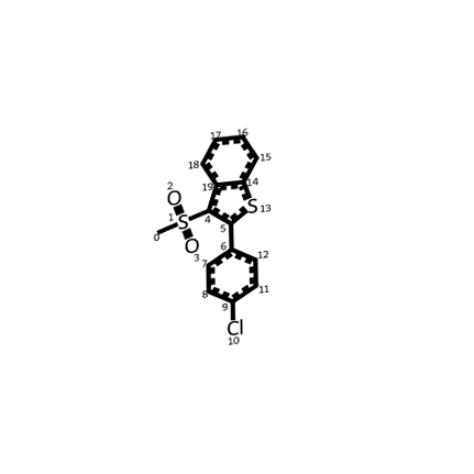 CS(=O)(=O)c1c(-c2ccc(Cl)cc2)sc2ccccc12